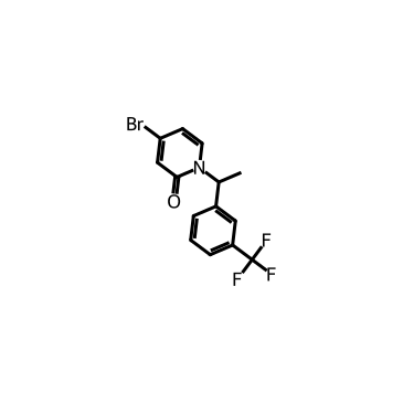 CC(c1cccc(C(F)(F)F)c1)n1ccc(Br)cc1=O